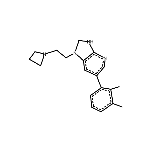 Cc1cccc(-c2cnc3c(c2)N(CCN2CCC2)CN3)c1C